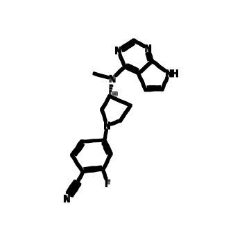 CN(c1ncnc2[nH]ccc12)[C@@H]1CCN(c2ccc(C#N)c(F)c2)C1